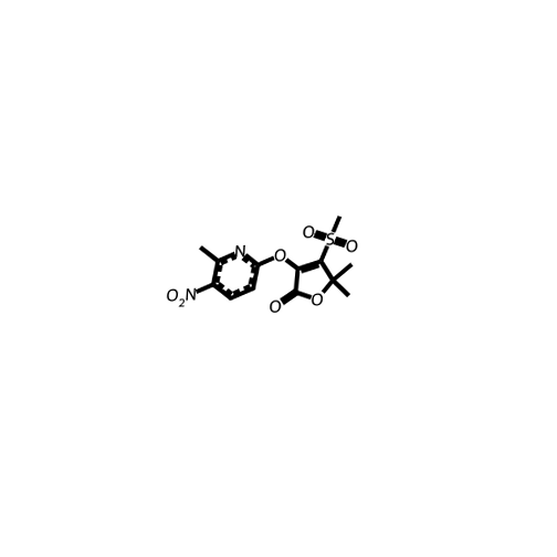 Cc1nc(OC2=C(S(C)(=O)=O)C(C)(C)OC2=O)ccc1[N+](=O)[O-]